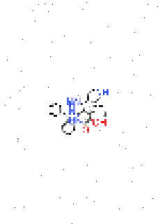 N=C(C1=C(NC(c2ccccc2)c2ccccc2)NC(=O)[C@H](O)[C@@H]1C(F)(F)F)C1CCNCC1